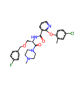 Cc1cc(Cl)ccc1Oc1ncccc1C(=O)N[C@H](COCc1ccc(F)cc1)C(=O)N1CCN(C)CC1